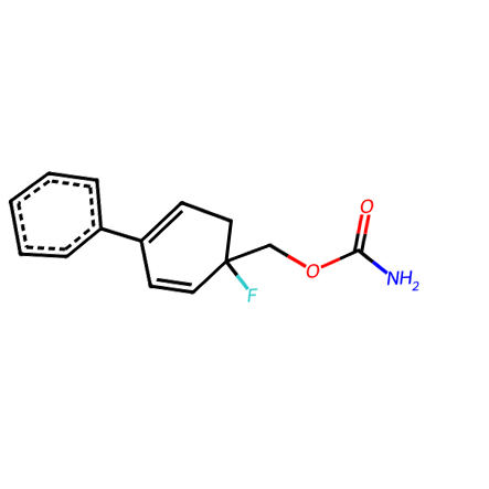 NC(=O)OCC1(F)C=CC(c2ccccc2)=CC1